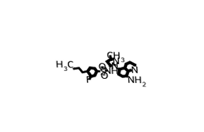 CCCCc1ccc(S(=O)(=O)Nc2cc(C)nn2-c2ccc(N)c3ncccc23)cc1F